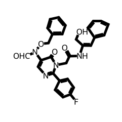 O=CN(OCc1ccccc1)c1cnc(-c2ccc(F)cc2)n(CC(=O)NC(=Cc2ccccc2)CO)c1=O